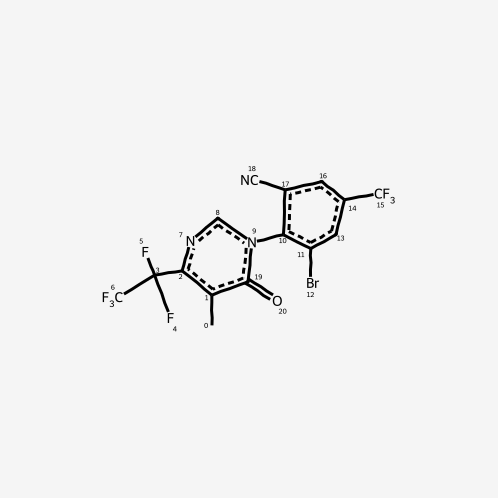 Cc1c(C(F)(F)C(F)(F)F)ncn(-c2c(Br)cc(C(F)(F)F)cc2C#N)c1=O